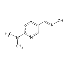 CN(C)c1ccc(/C=N/O)cn1